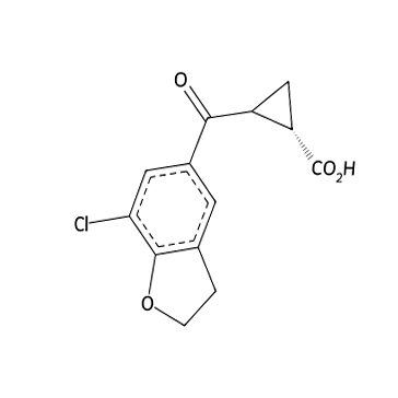 O=C(c1cc(Cl)c2c(c1)CCO2)C1C[C@@H]1C(=O)O